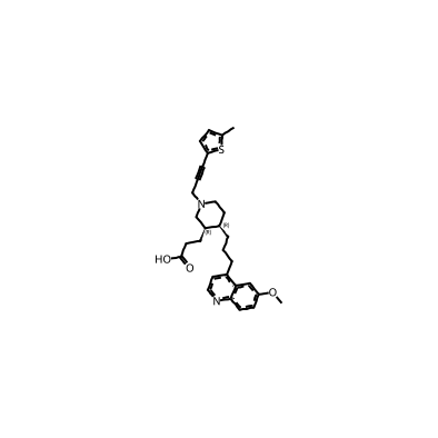 COc1ccc2nccc(CCC[C@@H]3CCN(CC#Cc4ccc(C)s4)C[C@@H]3CCC(=O)O)c2c1